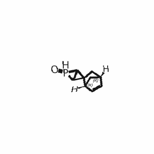 O=[PH]1C2C1C21C[C@@H]2C=C[C@H]1C2